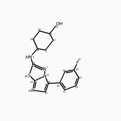 OC1CCC(Nc2nn3c(-c4cccc(F)c4)cnc3s2)CC1